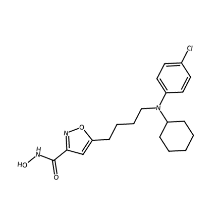 O=C(NO)c1cc(CCCCN(c2ccc(Cl)cc2)C2CCCCC2)on1